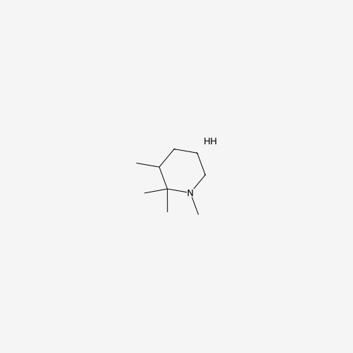 CC1CCCN(C)C1(C)C.[HH]